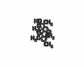 Cc1cc(C)c(C(=O)c2c(C)c(C(C)C(=O)O)cc3ccoc23)c(C)c1